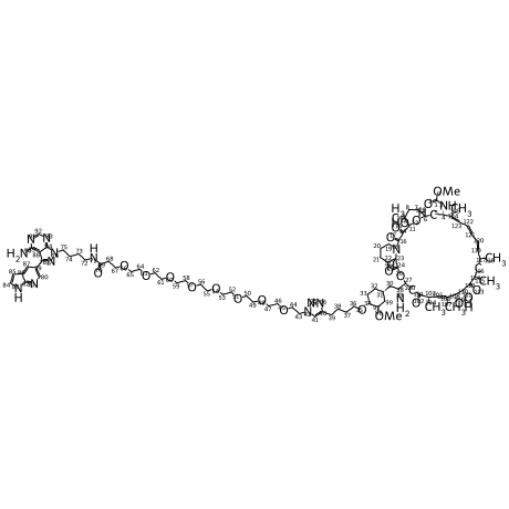 COC(=O)N[C@H]1C[C@@H]2CC[C@@H](C)[C@@](O)(O2)C(=O)C(=O)N2CCCC[C@H]2C(=O)O[C@H]([C@H](N)C[C@@H]2CC[C@@H](OCCCCc3cn(CCOCCOCCOCCOCCOCCOCCOCCOCCC(=O)NCCCCn4nc(-c5cnc6[nH]ccc6c5)c5c(N)ncnc54)nn3)[C@H](OC)C2)CC(=O)[C@H](C)/C=C(\C)[C@@H](O)[C@@H](O)C(=O)[C@H](C)C[C@H](C)/C=C/C=C/C=C/1C